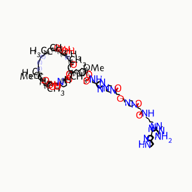 CO[C@H]1C[C@@H]2CC[C@@H](C)[C@@](O)(O2)C(=O)C(=O)N2CCCC[C@H]2C(=O)O[C@H]([C@H](C)C[C@@H]2CC[C@@H](OC(=O)NCc3cnc(N4CCN(C(=O)CCOCCN5CCN(C(=O)CCC(=O)NCCCCn6nc(-c7cnc8[nH]ccc8c7)c7c(N)ncnc76)CC5)CC4)nc3)[C@H](OC)C2)CC(=O)[C@H](C)/C=C(\C)[C@@H](O)[C@@H](O)C(=O)[C@H](C)C[C@H](C)/C=C/C=C/C=C/1C